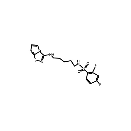 O=S(=O)(NCCCCCNc1nsc2nccn12)c1ccc(F)cc1F